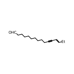 CCC=CC#CCCCCCCCCCC=O